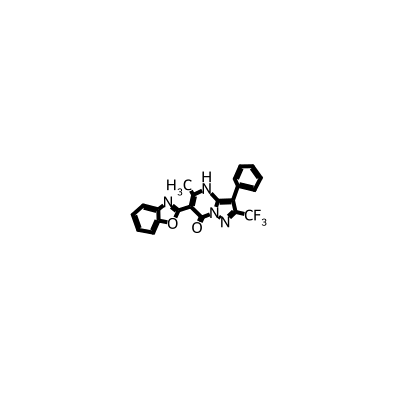 Cc1[nH]c2c(-c3ccccc3)c(C(F)(F)F)nn2c(=O)c1-c1nc2ccccc2o1